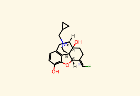 Oc1ccc2c3c1O[C@H]1/C(=C/F)CC[C@@]4(O)[C@@H](C2)N(CC2CC2)CC[C@]314